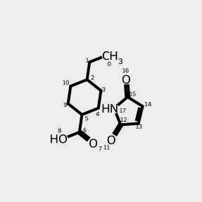 CCC1CCC(C(=O)O)CC1.O=C1C=CC(=O)N1